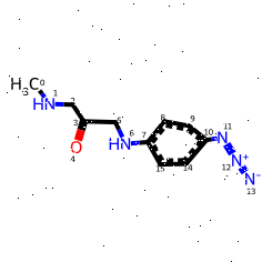 CNCC(=O)CNc1ccc(N=[N+]=[N-])cc1